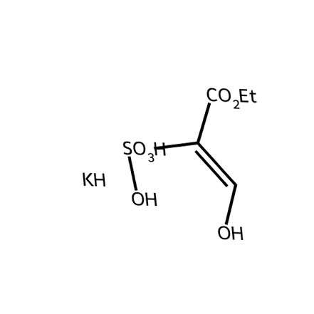 CCOC(=O)C(C)=CO.O=S(=O)(O)O.[KH]